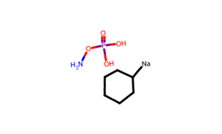 NOP(=O)(O)O.[Na][CH]1CCCCC1